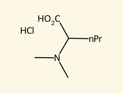 CCCC(C(=O)O)N(C)C.Cl